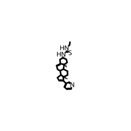 CCNC(=S)N[C@@H]1CC[C@@]2(C)C(=CCC3C2CC[C@]2(C)C(c4cccnc4)=CCC32)C1